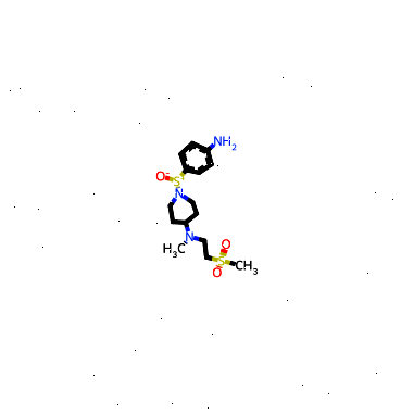 CN(CCS(C)(=O)=O)C1CCN([S+]([O-])c2ccc(N)cc2)CC1